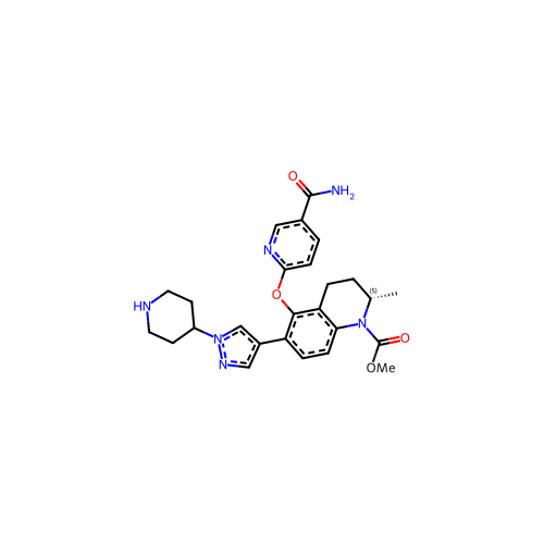 COC(=O)N1c2ccc(-c3cnn(C4CCNCC4)c3)c(Oc3ccc(C(N)=O)cn3)c2CC[C@@H]1C